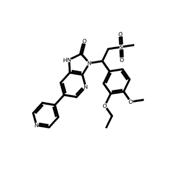 CCOc1cc(C(CS(C)(=O)=O)n2c(=O)[nH]c3cc(-c4ccncc4)cnc32)ccc1OC